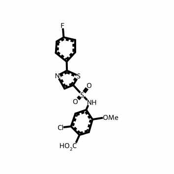 COc1cc(C(=O)O)c(Cl)cc1NS(=O)(=O)c1cnc(-c2ccc(F)cc2)s1